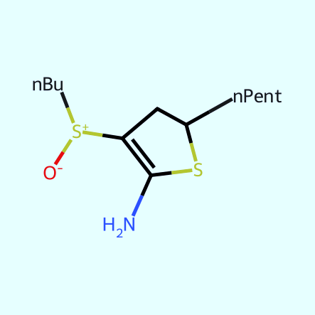 CCCCCC1CC([S+]([O-])CCCC)=C(N)S1